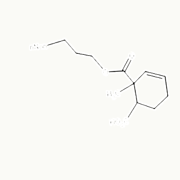 CCCCCCCCCCCCOC(=O)C1(C)C=CCCC1C(=O)O